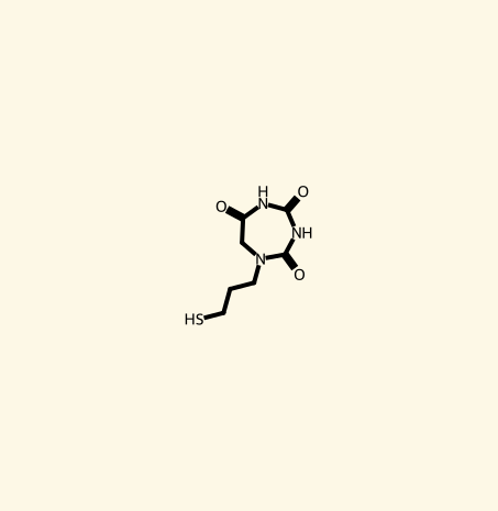 O=C1CN(CCCS)C(=O)NC(=O)N1